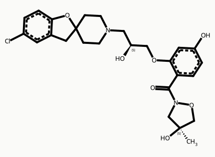 C[C@@]1(O)CON(C(=O)c2ccc(O)cc2OC[C@@H](O)CN2CCC3(CC2)Cc2cc(Cl)ccc2O3)C1